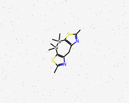 Cc1nc2c(s1)[Si](C)(C)[Si](C)(C)c1sc(C)nc1C2